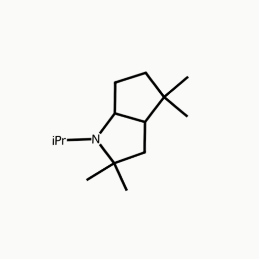 CC(C)N1C2CCC(C)(C)C2CC1(C)C